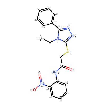 CCn1c(SCC(=O)Nc2ccccc2[N+](=O)[O-])nnc1-c1ccccc1